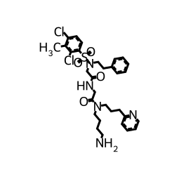 Cc1c(Cl)ccc(S(=O)(=O)N(CCc2ccccc2)CC(=O)NCC(=O)N(CCCCN)CCCc2ccccn2)c1Cl